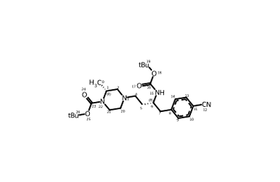 C[C@@H]1CN(CC[C@@H](Cc2ccc(C#N)cc2)NC(=O)OC(C)(C)C)CCN1C(=O)OC(C)(C)C